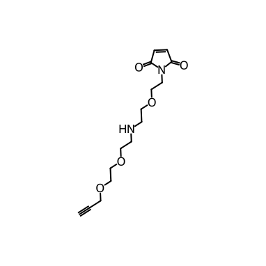 C#CCOCCOCCNCCOCCN1C(=O)C=CC1=O